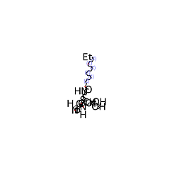 CC/C=C\C/C=C\C/C=C\C/C=C\C/C=C\C/C=C\CCC(=O)NCCSSC(C)(C)C(COC(CO)CO)NC(=O)c1cccnc1